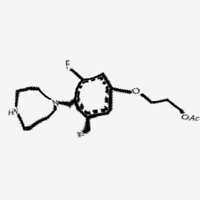 CC(=O)OCCOc1cc(F)c(N2CCNCC2)c(F)c1